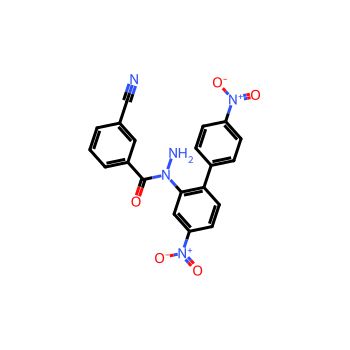 N#Cc1cccc(C(=O)N(N)c2cc([N+](=O)[O-])ccc2-c2ccc([N+](=O)[O-])cc2)c1